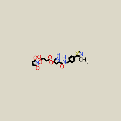 Cc1ncsc1-c1ccc(CNC(=O)C2CC(OC(=O)CCC(=O)ON3C(=O)CCC3=O)CN2)cc1